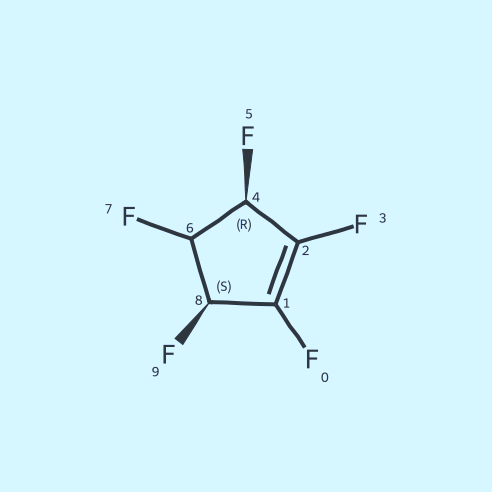 FC1=C(F)[C@H](F)C(F)[C@@H]1F